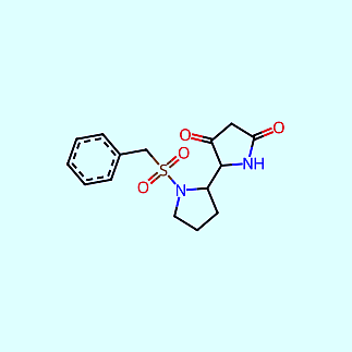 O=C1CC(=O)C(C2CCCN2S(=O)(=O)Cc2ccccc2)N1